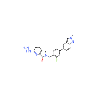 Cn1cc2cc(-c3ccc(CN4Cc5ccc(NN)nc5C4=O)c(F)c3)ccc2n1